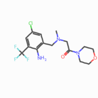 CN(CC(=O)N1CCOCC1)Cc1cc(Cl)cc(C(F)(F)F)c1N